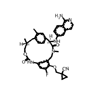 Cc1cc2ccc1[C@@H](C)COC(=O)Nc1cc(F)c(OCC3(C#N)CC3)c(c1)CN(C)C(=O)[C@@H]2Nc1ccc2c(N)nccc2c1